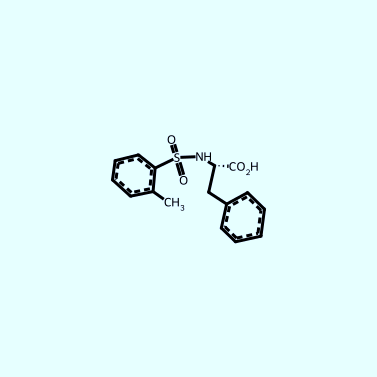 Cc1ccccc1S(=O)(=O)N[C@@H](Cc1ccccc1)C(=O)O